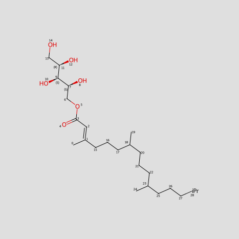 CC(=CC(=O)OC[C@H](O)[C@@H](O)[C@H](O)CO)CCCC(C)CCCC(C)CCCC(C)C